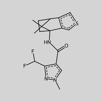 Cn1cc(C(=O)NC23CCC(c4cscc42)C3(C)C)c(C(F)F)n1